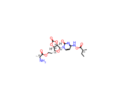 CC[C@H](C)C(=O)ONc1ccn([C@@H]2O[C@H](CCOC(=O)[C@@H](C)N)[C@H]3OC(=O)O[C@H]32)c(=O)n1